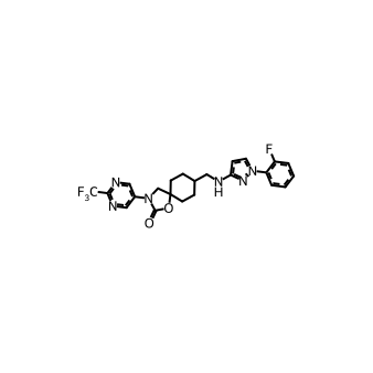 O=C1OC2(CCC(CNc3ccn(-c4ccccc4F)n3)CC2)CN1c1cnc(C(F)(F)F)nc1